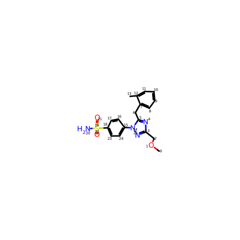 COCc1nc(Cc2ccccc2C)n(-c2ccc(S(N)(=O)=O)cc2)n1